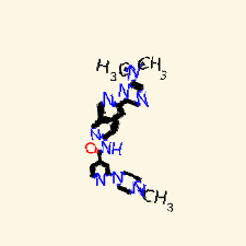 CN1CCN(c2cc(C(=O)Nc3cc4cc(-c5cncc(N(C)C)n5)ncc4cn3)ccn2)CC1